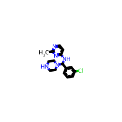 Cc1nccc(NC(c2cccc(Cl)c2)N2CCNCC2)n1